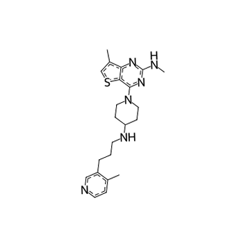 CNc1nc(N2CCC(NCCCc3cnccc3C)CC2)c2scc(C)c2n1